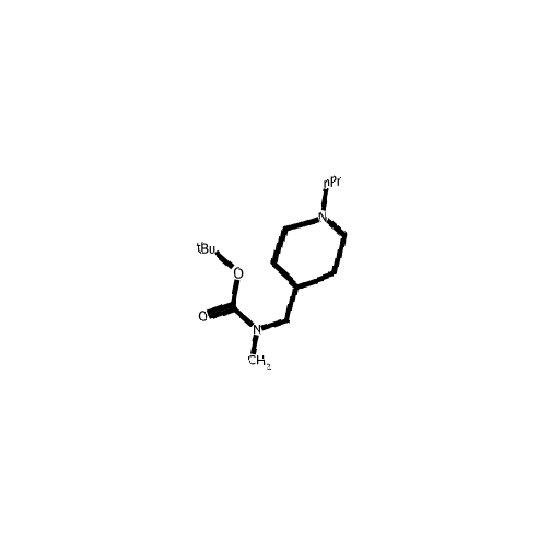 CCCN1CCC(CN(C)C(=O)OC(C)(C)C)CC1